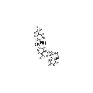 COc1ccc(C(=O)Nc2ccc(C(C)(C)C)cc2)cc1NCC(O)c1ncccc1Cl